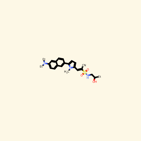 CCC(O)CNS(=O)(=O)/C(C#N)=C/c1ccc(-c2ccc3cc(N(CC)CC)ccc3c2)n1C